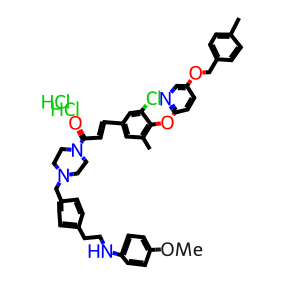 COc1ccc(NCCc2ccc(CN3CCN(C(=O)C=Cc4cc(C)c(Oc5ccc(OCc6ccc(C)cc6)cn5)c(Cl)c4)CC3)cc2)cc1.Cl.Cl